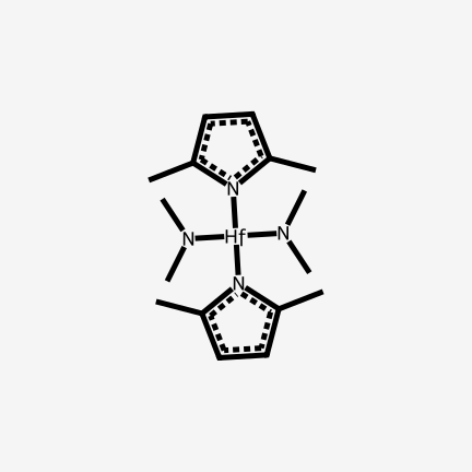 Cc1ccc(C)[n]1[Hf]([N](C)C)([N](C)C)[n]1c(C)ccc1C